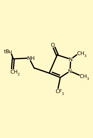 C=C(NCc1c(C(F)(F)F)n(C)n(C)c1=O)C(C)(C)C